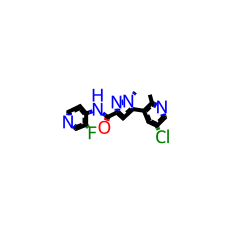 Cc1ncc(Cl)cc1-c1cc(C(=O)Nc2ccncc2F)nn1C